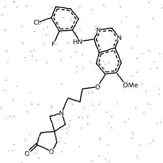 COc1cc2ncnc(Nc3cccc(Cl)c3F)c2cc1OCCCN1CC2(COC(=O)C2)C1